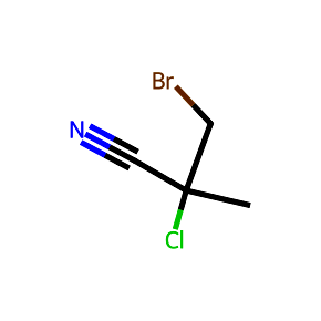 CC(Cl)(C#N)CBr